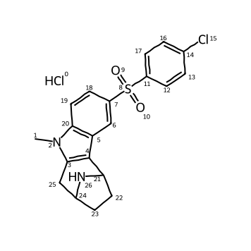 Cl.Cn1c2c(c3cc(S(=O)(=O)c4ccc(Cl)cc4)ccc31)C1CCC(C2)N1